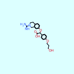 N=C(N)N1CCc2ccc(OC(C(=O)O)c3ccc(OCCCO)cc3)cc2C1